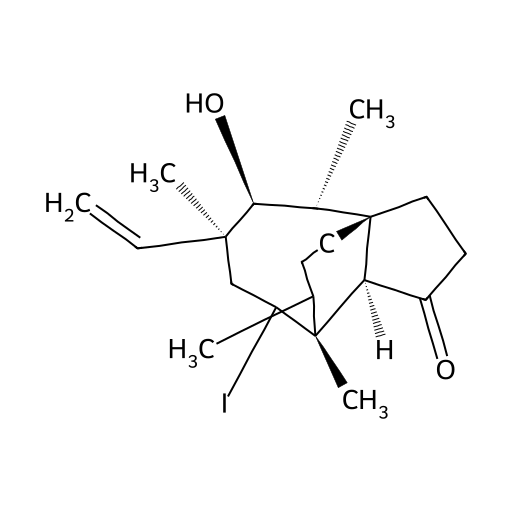 C=C[C@]1(C)CC(I)[C@]2(C)C(C)CC[C@]3(CCC(=O)[C@@H]23)[C@@H](C)[C@@H]1O